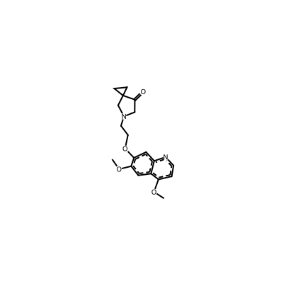 COc1cc2c(OC)ccnc2cc1OCCN1CC(=O)C2(CC2)C1